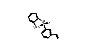 C=Cc1cccc(S(=O)(=O)Nc2ccccc2N)c1